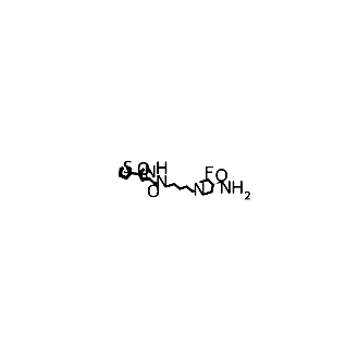 NC(=O)[C@@H]1CCN(CCCCCNC(=O)c2cc(-c3cccs3)on2)C[C@H]1F